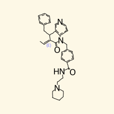 C/C=C1/C(=O)N(Cc2ccc(C(=O)NCCN3CCCCC3)cc2)c2ccncc2C1Cc1ccccc1